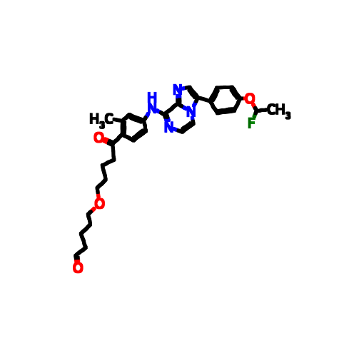 Cc1cc(Nc2nccn3c(-c4ccc(OC(C)F)cc4)cnc23)ccc1C(=O)CCCCOCCCCC=O